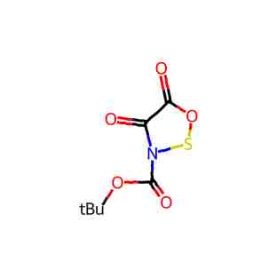 CC(C)(C)OC(=O)n1soc(=O)c1=O